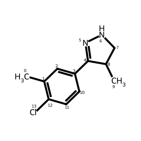 Cc1cc(C2=NNCC2C)ccc1Cl